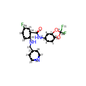 O=C(Nc1ccc2c(c1)OC(F)(F)O2)c1cc(F)ccc1NCc1ccncc1